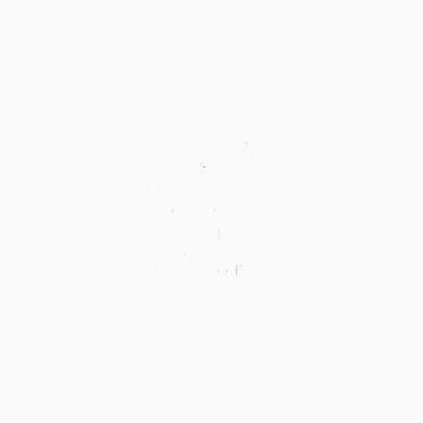 CCOC(=O)C(Br)c1cccc(C)c1C1CCC(OC(F)(F)F)CC1